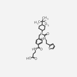 CC(C)(C)C1CCC(N(Cc2ccc(C(=O)NCCC(=O)O)cc2)C(=O)NCCc2cccs2)CC1